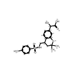 Cc1ccc(S(=O)(=O)NCC2CC(C)(C)Oc3cc(C(O)C(=O)O)ccc32)cc1